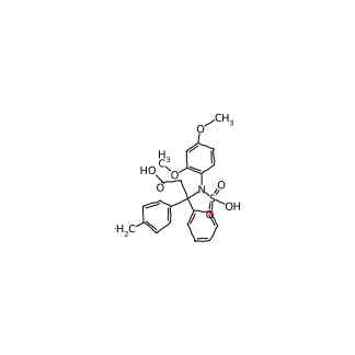 [CH2]c1ccc(C(CC(=O)O)(c2ccccc2)N(c2ccc(OC)cc2OC)S(=O)(=O)O)cc1